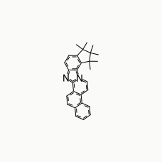 CC1(C)c2ccc3nc4c5ccc6ccccc6c5ccn4c3c2C(C)(C)C1(C)C